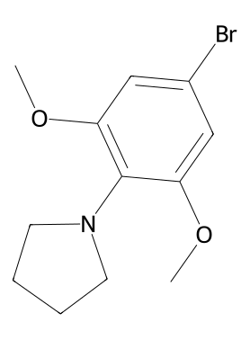 COc1cc(Br)cc(OC)c1N1CCCC1